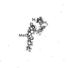 COc1cc2c(cc1OC(=O)N1CCC(N3CCCC3)CC1)C[C@@H](CCC(C)(C)CC(C)(C)[S+]([O-])CCCC(F)(P)C(F)(F)P)[C@@H]1[C@@H]2CC[C@]2(C)C(=O)CC[C@@H]12